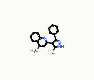 Cc1cc(-c2c(-c3ccccc3)n[nH]c2C(F)(F)F)nc2ccccc12